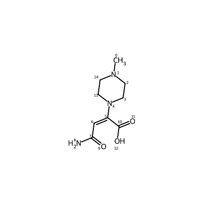 CN1CCN(C(=CC(N)=O)C(=O)O)CC1